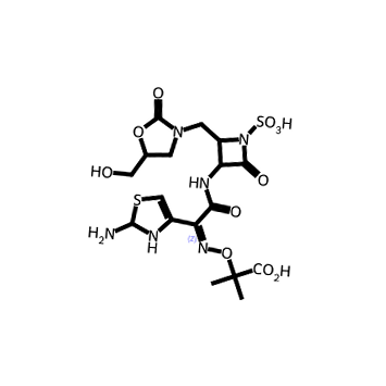 CC(C)(O/N=C(\C(=O)NC1C(=O)N(S(=O)(=O)O)C1CN1CC(CO)OC1=O)C1=CSC(N)N1)C(=O)O